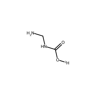 [2H]OC(=O)NCN